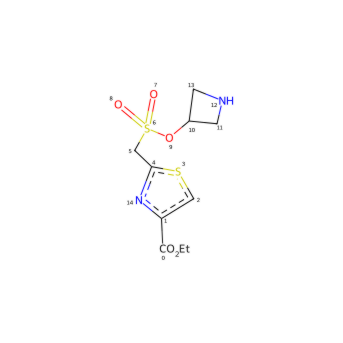 CCOC(=O)c1csc(CS(=O)(=O)OC2CNC2)n1